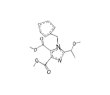 COC(=O)c1nc(C(C)OC)n(Cc2ccccc2)c1C(=O)OC